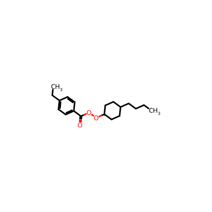 CCCCC1CC[C](OOC(=O)c2ccc(CC)cc2)CC1